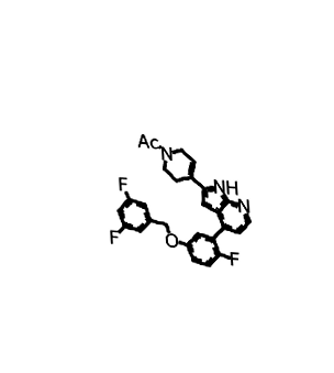 CC(=O)N1CC=C(c2cc3c(-c4cc(OCc5cc(F)cc(F)c5)ccc4F)ccnc3[nH]2)CC1